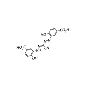 N#CC(/N=N/c1cc(C(=O)O)ccc1O)=N\Nc1cc(C(=O)O)ccc1O